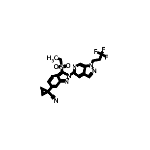 CCS(=O)(=O)c1c2ccc(C3(C#N)CC3)cc2nn1-c1cc2cnn(CCC(F)(F)F)c2cn1